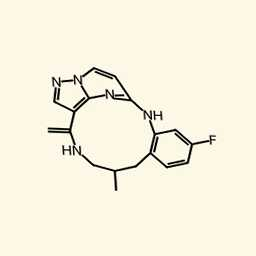 C=C1NCC(C)Cc2ccc(F)cc2Nc2ccn3ncc1c3n2